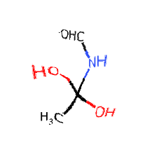 CC(O)(O)N[C]=O